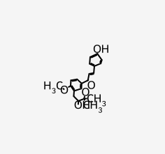 COc1ccc(C(=O)/C=C/c2ccc(O)cc2)c2c1CC(O)C(C)(C)O2